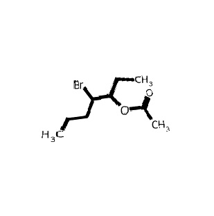 CCCC(Br)C(CC)OC(C)=O